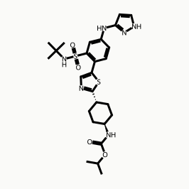 CC(C)OC(=O)N[C@H]1CC[C@H](c2ncc(-c3ccc(Nc4cc[nH]n4)cc3S(=O)(=O)NC(C)(C)C)s2)CC1